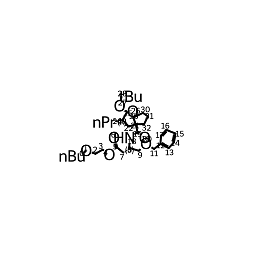 CCCCOCCOC(=O)C[C@@H](COCc1ccccc1)NC(=O)C1(C[C@@H](CCC)C(=O)OC(C)(C)C)CCCC1